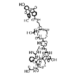 N=C(N)NCCC[C@H](NC(=O)[C@@H]1CSCC(=O)N[C@@H](CCCCNC(=O)c2ccc3c(c2)C2(OC3=O)c3ccc(O)cc3Oc3cc(O)ccc32)C(=O)N[C@@H](CC(=O)O)C(=O)N1)C(=O)NCC(=O)N[C@@H](CC(=O)O)C(=O)N[C@H]1CSSC[C@@H](C(=O)NCC(=O)O)NC(=O)[C@H](Cc2ccccc2)NC1=O